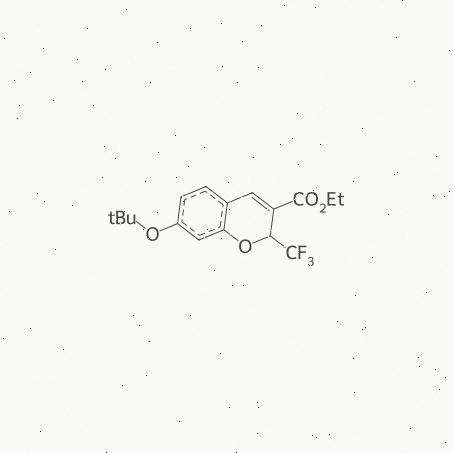 CCOC(=O)C1=Cc2ccc(OC(C)(C)C)cc2OC1C(F)(F)F